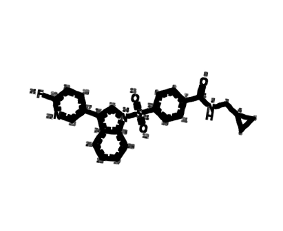 O=C(NCC1CC1)c1ccc(S(=O)(=O)n2cc(-c3ccc(F)nc3)c3ccccc32)cc1